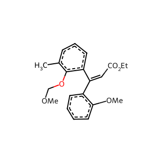 CCOC(=O)C=C(c1ccccc1OC)c1cccc(C)c1OCOC